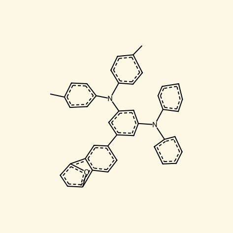 Cc1ccc(N(c2ccc(C)cc2)c2cc(-c3ccc4c5ccc(o5)c4c3)cc(N(c3ccccc3)c3ccccc3)c2)cc1